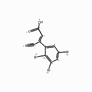 N#CC(=CC(=O)O)c1cc(Br)cc(Br)c1Br